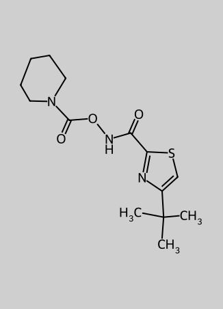 CC(C)(C)c1csc(C(=O)NOC(=O)N2CCCCC2)n1